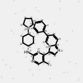 Fc1cnc(N[C@H]2CC[C@H](N3CCCC3)CC2)nc1-c1cnc2ccc(-c3ccccc3)cn12